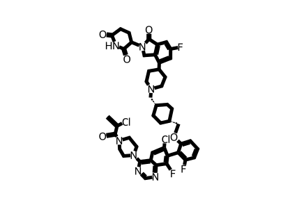 C=C(Cl)C(=O)N1CCN(c2ncnc3c(F)c(-c4c(F)cccc4OC[C@H]4CC[C@@H](CN5CCC(c6cc(F)cc7c6CN(C6CCC(=O)NC6=O)C7=O)CC5)CC4)c(Cl)cc23)CC1